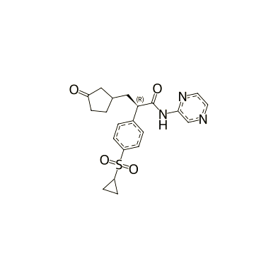 O=C1CCC(C[C@@H](C(=O)Nc2cnccn2)c2ccc(S(=O)(=O)C3CC3)cc2)C1